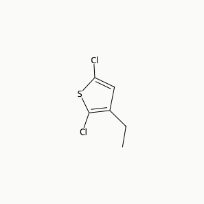 CCc1cc(Cl)sc1Cl